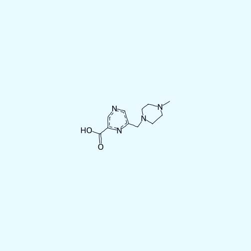 CN1CCN(Cc2cncc(C(=O)O)n2)CC1